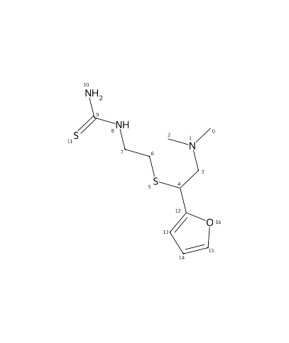 CN(C)CC(SCCNC(N)=S)c1ccco1